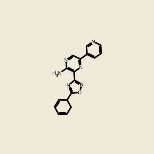 Nc1ncc(-c2cccnc2)nc1-c1noc(C2C=CC=CC2)n1